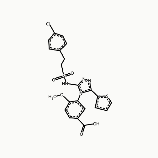 COc1ccc(C(=O)O)cc1-n1c(NS(=O)(=O)CCc2ccc(Cl)cc2)nnc1-c1cccs1